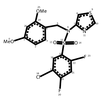 COc1ccc(CN(c2cscn2)S(=O)(=O)c2cc(Cl)c(F)cc2F)c(OC)c1